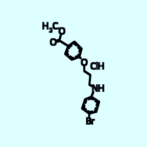 COC(=O)c1ccc(OCCCNc2ccc(Br)cc2)cc1.Cl